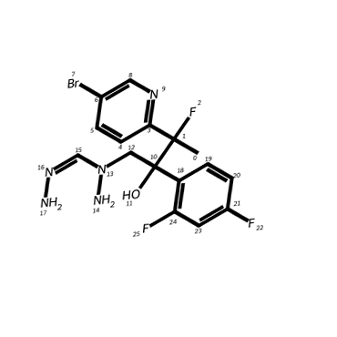 CC(F)(c1ccc(Br)cn1)C(O)(CN(N)/C=N\N)c1ccc(F)cc1F